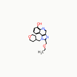 CCOCc1nc2cnc3c(O)cccc3c2n1CC1CCOCC1